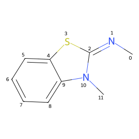 CN=c1sc2ccccc2n1C